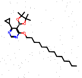 CCCCCCCCCCCCCCOc1ncnc(C2CC2)c1B1OC(C)(C)C(C)(C)O1